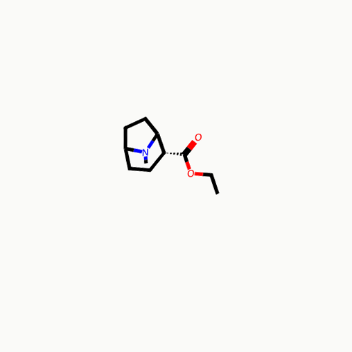 CCOC(=O)[C@@H]1CCC2CCC1N2C